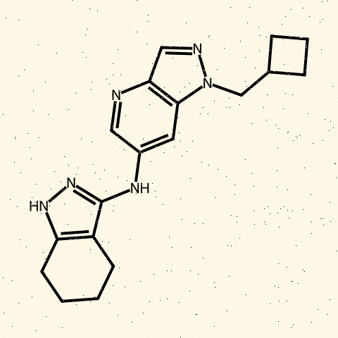 c1nc2cnn(CC3CCC3)c2cc1Nc1n[nH]c2c1CCCC2